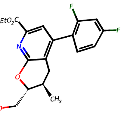 CCOC(=O)c1cc(-c2ccc(F)cc2F)c2c(n1)O[C@@H](CO)[C@H](C)C2